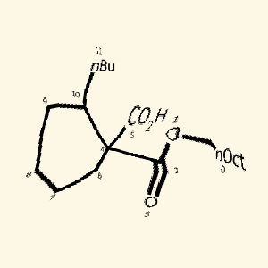 CCCCCCCCOC(=O)C1(C(=O)O)CCCCC1CCCC